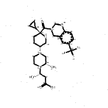 C[C@@H](CC(=O)O)N1CCN([C@@H]2CC[C@@](C(=O)N3COc4ccc(C(F)(F)F)cc4C3)(C3CC3)OC2)C[C@@H]1C